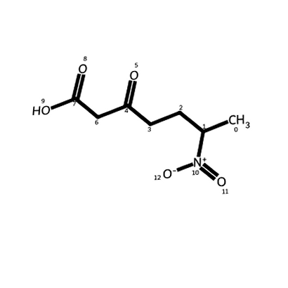 CC(CCC(=O)CC(=O)O)[N+](=O)[O-]